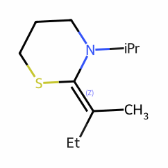 CC/C(C)=C1\SCCCN1C(C)C